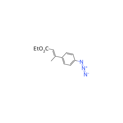 CCOC(=O)/C=C(\C)c1ccc(N=[N+]=[N-])cc1